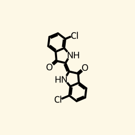 O=C1C(=C2Nc3c(Cl)cccc3C2=O)Nc2c(Cl)cccc21